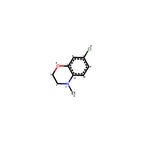 CCN1CCOc2cc(Cl)ccc21